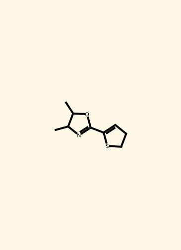 CC1N=C(C2=CCCS2)OC1C